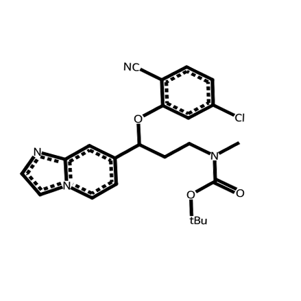 CN(CCC(Oc1cc(Cl)ccc1C#N)c1ccn2ccnc2c1)C(=O)OC(C)(C)C